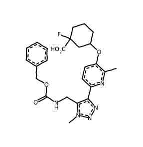 Cc1nc(-c2nnn(C)c2CNC(=O)OCc2ccccc2)ccc1OC1CCCC(F)(C(=O)O)C1